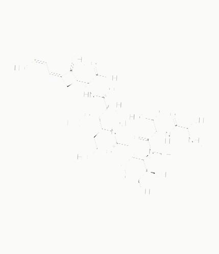 C=C1/C(=C\C=C/C)C[C@@H]1[C@@H](NC(=O)[C@H](C)[C@@H](OC)[C@H](CCC)N(C)C(=O)C[C@@H](OC)[C@H]([C@@H](C)CC)N(C)C(=O)[C@@H](NC(=O)C(C)N)C(C)C)C(=O)O